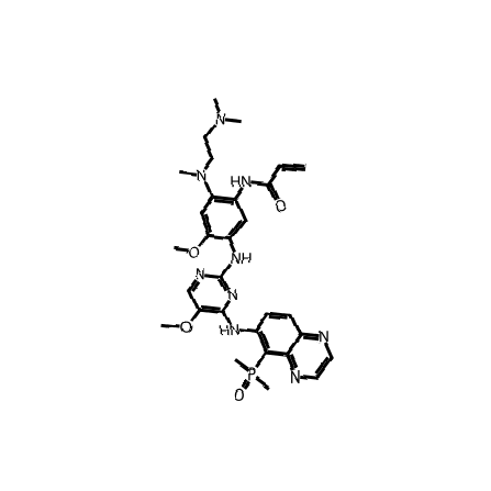 C=CC(=O)Nc1cc(Nc2ncc(OC)c(Nc3ccc4nccnc4c3P(C)(C)=O)n2)c(OC)cc1N(C)CCN(C)C